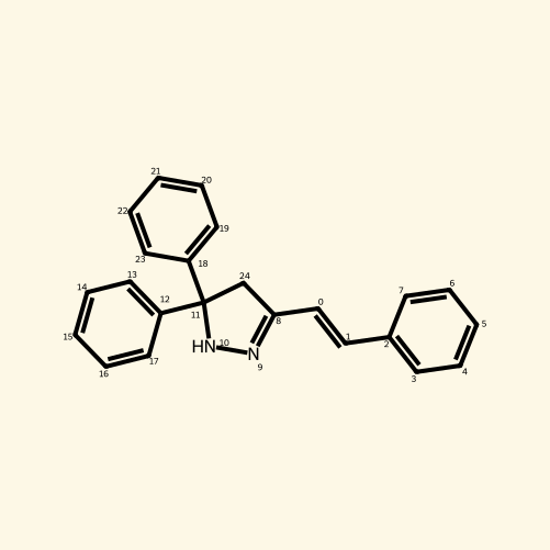 C(=Cc1ccccc1)C1=NNC(c2ccccc2)(c2ccccc2)C1